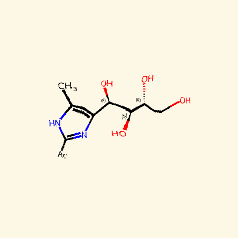 CC(=O)c1nc([C@@H](O)[C@H](O)[C@H](O)CO)c(C)[nH]1